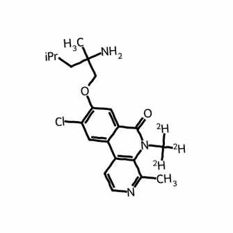 [2H]C([2H])([2H])n1c(=O)c2cc(OCC(C)(N)CC(C)C)c(Cl)cc2c2ccnc(C)c21